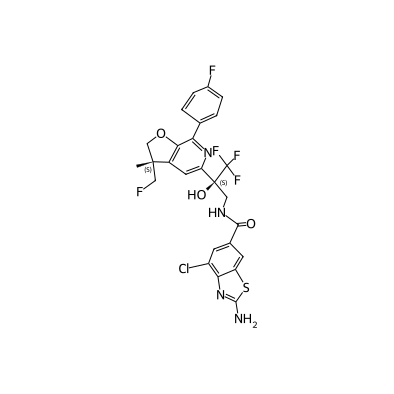 C[C@@]1(CF)COc2c1cc([C@@](O)(CNC(=O)c1cc(Cl)c3nc(N)sc3c1)C(F)(F)F)nc2-c1ccc(F)cc1